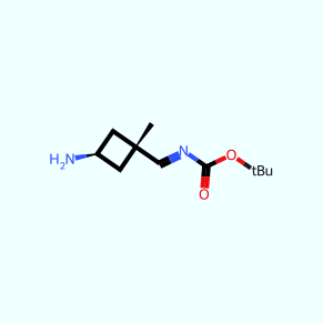 CC(C)(C)OC(=O)/N=C/[C@]1(C)C[C@@H](N)C1